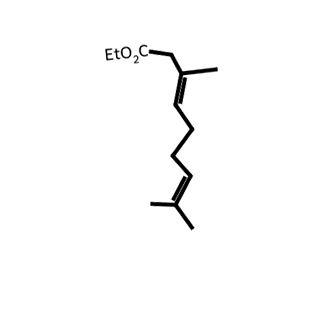 CCOC(=O)CC(C)=CCCC=C(C)C